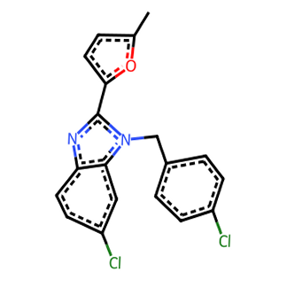 Cc1ccc(-c2nc3ccc(Cl)cc3n2Cc2ccc(Cl)cc2)o1